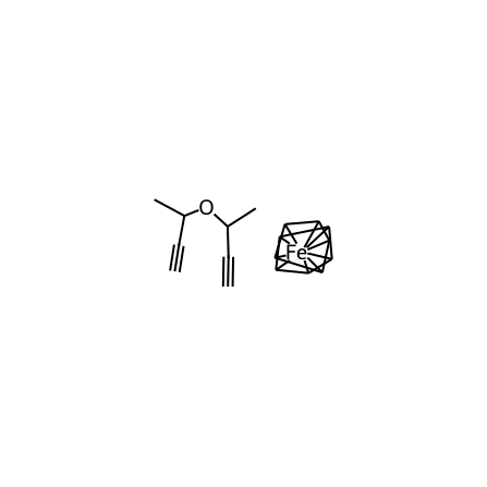 C#CC(C)OC(C)C#C.[CH]12[CH]3[CH]4[CH]5[CH]1[Fe]23451678[CH]2[CH]1[CH]6[CH]7[CH]28